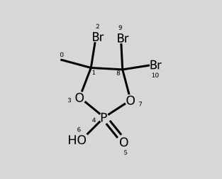 CC1(Br)OP(=O)(O)OC1(Br)Br